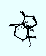 C=C1C=C[C@@]23CC[C@H](C)[C@@]12CCCC3(C)C